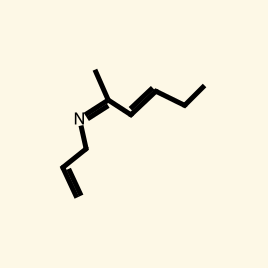 C=CCN=C(C)C=CCC